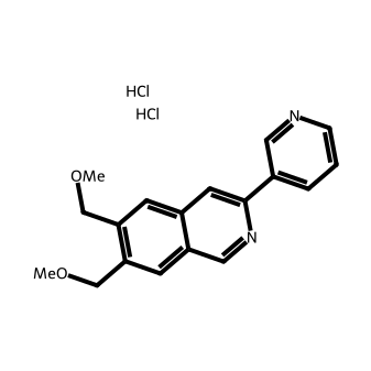 COCc1cc2cnc(-c3cccnc3)cc2cc1COC.Cl.Cl